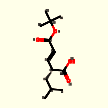 CC(C)C[C@H](C=CC(=O)OC(C)(C)C)C(=O)O